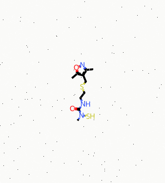 Cc1noc(C)c1CSCCNC(=O)N(C)S